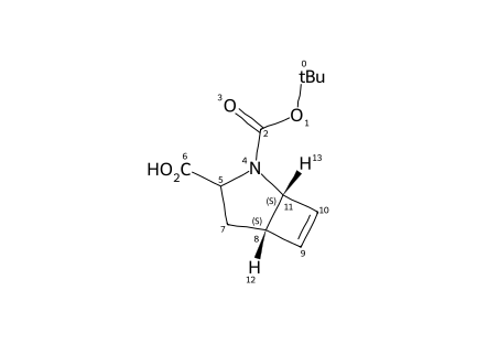 CC(C)(C)OC(=O)N1C(C(=O)O)C[C@H]2C=C[C@H]21